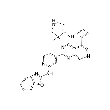 CC1(C)CNCC[C@@H]1Nc1nc(-c2ccnc(Nc3nc4ccccc4o3)c2)nc2cncc(C3=CC=C3)c12